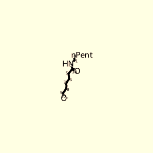 CCCCCCNC(=O)CCCCC[O]